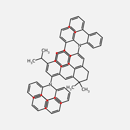 CC(C)c1cc(N(c2ccccc2-c2ccccc2)c2ccccc2-c2ccccc2)c2cc3c4c(cc(N(c5ccccc5-c5ccccc5)c5ccccc5-c5ccccc5)c5ccc1c2c54)CCC3(C)C